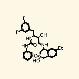 CCc1ccc2c(c1)[C@@H](NC[C@@H](O)[C@H](Cc1cc(F)cc(F)c1)NC(=O)Nc1ccccc1)CS(O)(O)C2